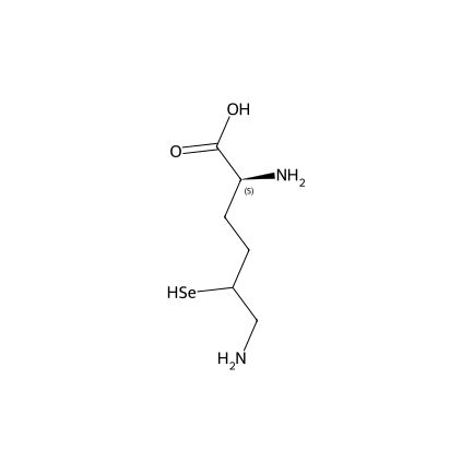 NCC([SeH])CC[C@H](N)C(=O)O